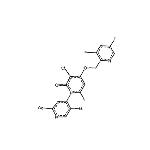 CCc1cnc(C(C)=O)cc1-n1c(C)cc(OCc2ncc(F)cc2F)c(Cl)c1=O